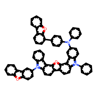 c1ccc(N(c2ccc(-c3cccc4c3oc3ccccc34)cc2)c2ccc3c(c2)c2c4oc5c(ccc6c5c5ccccc5n6-c5ccc6oc7ccccc7c6c5)c4ccc2n3-c2ccccc2)cc1